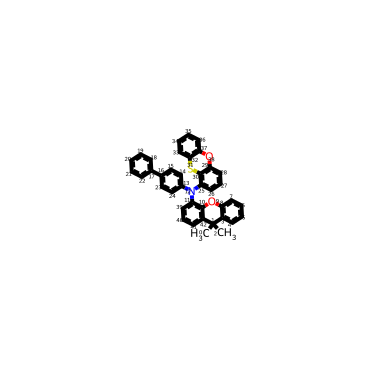 CC1(C)c2ccccc2Oc2c(N(c3ccc(-c4ccccc4)cc3)c3cccc4c3Sc3ccccc3O4)cccc21